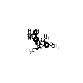 CCCc1cn(-c2ccc(OC)cc2C(C)(C)C)c(=O)n1Cc1ccc(-c2cnccc2-c2nnn[nH]2)cc1